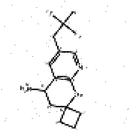 CC(F)(F)Cc1cnc2c(c1)C(N)CC1(CCC1)O2